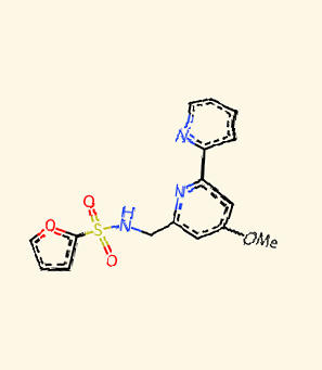 COc1cc(CNS(=O)(=O)c2ccco2)nc(-c2ccccn2)c1